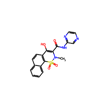 CN1C(C(=O)Nc2cnccn2)=C(O)c2ccc3ccccc3c2S1(=O)=O